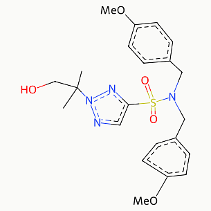 COc1ccc(CN(Cc2ccc(OC)cc2)S(=O)(=O)c2cnn(C(C)(C)CO)n2)cc1